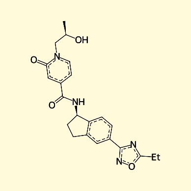 CCc1nc(-c2ccc3c(c2)CC[C@H]3NC(=O)c2ccn(C[C@@H](C)O)c(=O)c2)no1